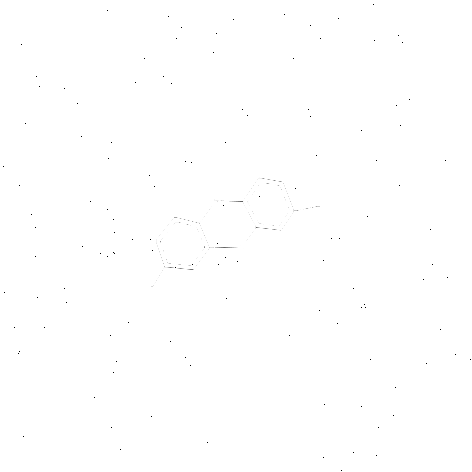 Ic1ccc2c(c1)Sc1cc(I)ccc1N2